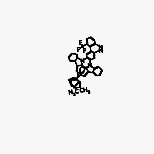 Cc1cccc(-c2ccc3c(c2)c2ccccc2n3-c2cc(C#N)c(-c3c(C#N)cccc3C(F)(F)F)cc2-n2c3ccccc3c3cc(-c4cccc(C)c4)ccc32)c1